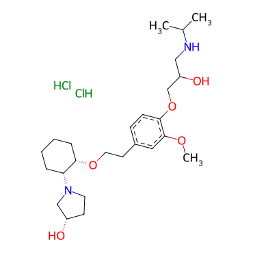 COc1cc(CCO[C@H]2CCCC[C@H]2N2CC[C@H](O)C2)ccc1OCC(O)CNC(C)C.Cl.Cl